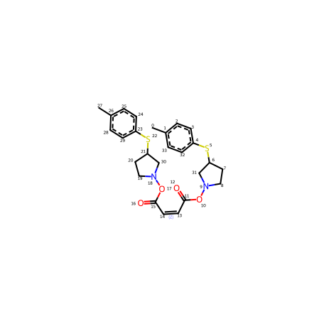 Cc1ccc(SC2CCN(OC(=O)/C=C\C(=O)ON3CCC(Sc4ccc(C)cc4)C3)C2)cc1